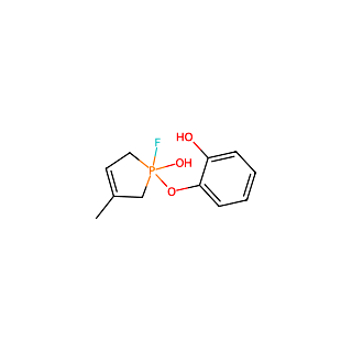 CC1=CCP(O)(F)(Oc2ccccc2O)C1